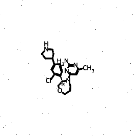 Cc1cc(N2CCCOC[C@H]2c2ccc(C3CCNCC3)cc2Cl)nc(N)n1